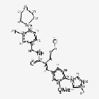 COc1cc(/C=C(\CCCCl)C(=O)NCc2ccc(N3CCOCC3)c(F)c2)ccc1-n1cnc(C)c1